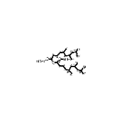 CCCCCCCCCCOC(CCCC(C)CC(C)CC(C)Br)OC(CCCC(C)CC(C)CC(C)Br)OCCCCCCCCCC